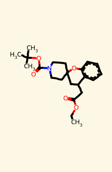 CCOC(=O)CC1CC2(CCN(C(=O)OC(C)(C)C)CC2)Oc2ccccc21